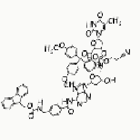 COc1ccc(C(OC[C@H]2O[C@@H](n3cc(C)c(=O)[nH]c3=O)CC2O[PH](O)(OCCC#N)OC[C@H]2OC(n3cnc4c(NC(=O)c5ccc(CNC(=O)OCC6c7ccccc7-c7ccccc76)cc5)ncnc43)CC2O)(c2ccccc2)c2ccc(OC)cc2)cc1